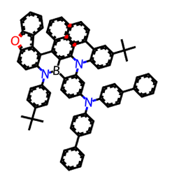 CC(C)(C)c1ccc(N2B3c4ccc(N(c5ccc(-c6ccccc6)cc5)c5ccc(-c6ccccc6)cc5)cc4N(c4ccc(C(C)(C)C)cc4-c4ccccc4)c4cc5ccccc5c(c43)-c3c2ccc2oc4ccccc4c32)cc1